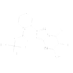 Cc1[nH]c2cc(C3CCCCN3C(=O)OC(C)(C)C)nn2c(=O)c1C